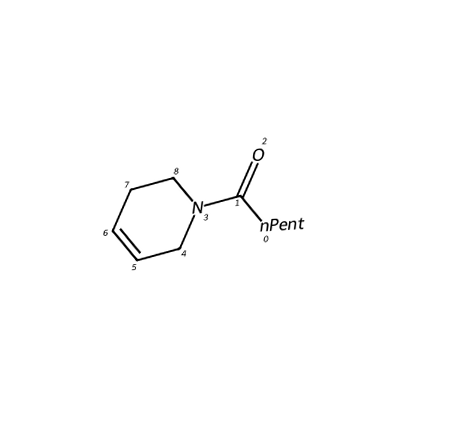 CCCCCC(=O)N1CC=CCC1